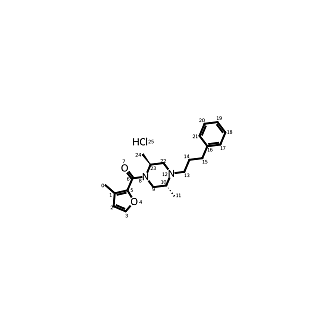 Cc1ccoc1C(=O)N1C[C@@H](C)N(CCCc2ccccc2)C[C@@H]1C.Cl